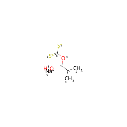 CC(C)COC(=S)[S-].O.[Na+]